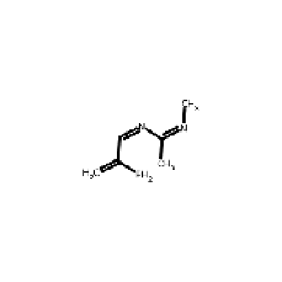 C=C(P)/C=N\C(C)=N/C